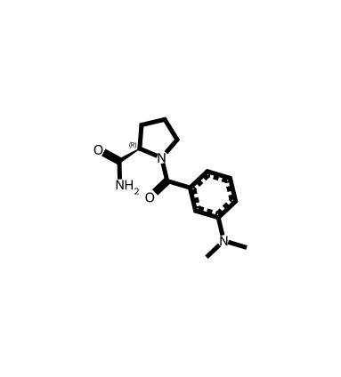 CN(C)c1cccc(C(=O)N2CCC[C@@H]2C(N)=O)c1